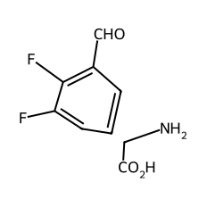 NCC(=O)O.O=Cc1cccc(F)c1F